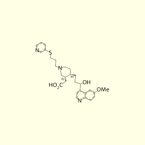 COc1ccc2nccc(C(O)CC[C@@H]3CCN(CCCSc4cccnc4)C[C@@H]3CC(=O)O)c2c1